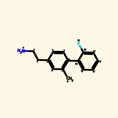 Cc1cc(CCN)ccc1-c1ccccc1F